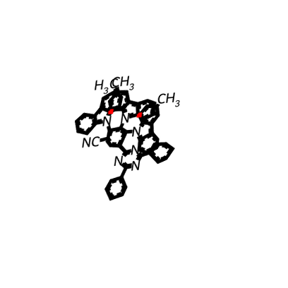 Cc1ccc2c(c1)c1ccccc1n2-c1c(C#N)cc(-c2nc(-c3ccccc3)nc(-c3ccccc3)n2)c(-n2c3ccccc3c3cc(C)ccc32)c1-n1c2ccccc2c2cc(C)ccc21